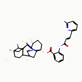 CCN1C[C@]2(OC(=O)c3ccccc3NC(=O)/C=C/c3cccc(C)n3)CC[C@H](OC)[C@]34C1[C@@H](C[C@H]23)[C@@]1(O)C[C@H](OC)[C@H]2C[C@@H]4[C@]1(O)C2OC